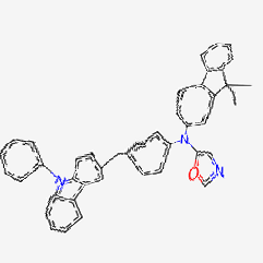 CC1(C)c2ccccc2-c2ccc(N(c3ccc(-c4ccc5c(c4)c4ccccc4n5-c4ccccc4)cc3)c3cnco3)cc21